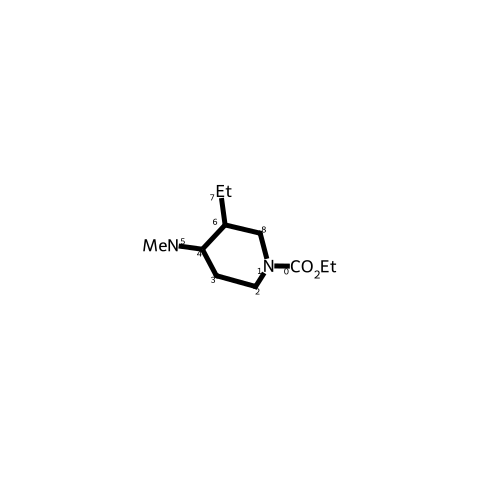 CCOC(=O)N1CCC(NC)C(CC)C1